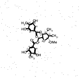 CO[C@@H]1OC(COC(=O)c2cc(O)c(C)c(O)c2)[C@@H](OC(=O)c2cc(O)c(C)c(O)c2)[C@H](C)C1C